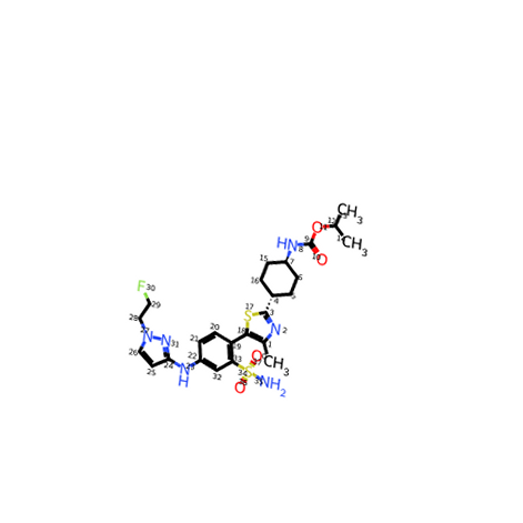 Cc1nc([C@H]2CC[C@H](NC(=O)OC(C)C)CC2)sc1-c1ccc(Nc2ccn(CCF)n2)cc1S(N)(=O)=O